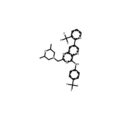 CC1CN(Cc2nc(Nc3ccc(C(F)(F)F)cc3)c3ncc(-c4ncccc4C(F)(F)F)cc3n2)CC(C)O1